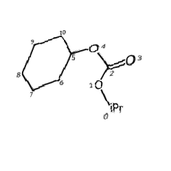 CC(C)OC(=O)OC1CCCCC1